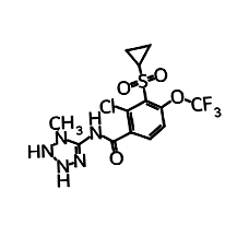 CN1NNN=C1NC(=O)c1ccc(OC(F)(F)F)c(S(=O)(=O)C2CC2)c1Cl